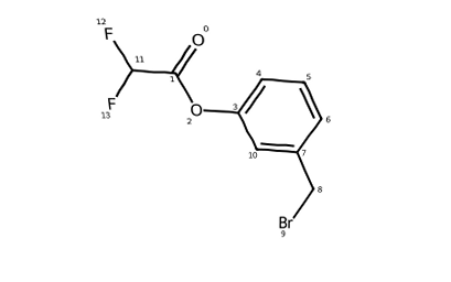 O=C(Oc1cccc(CBr)c1)C(F)F